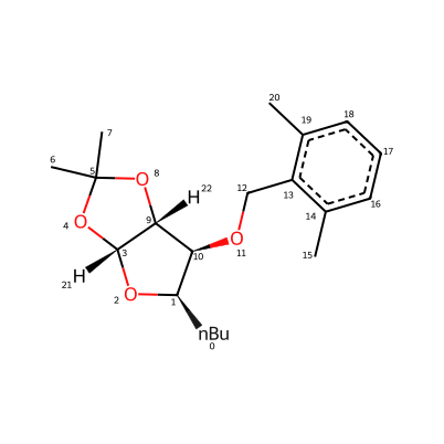 CCCC[C@H]1O[C@@H]2OC(C)(C)O[C@@H]2[C@H]1OCc1c(C)cccc1C